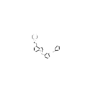 S=C(Cc1cccc2c1ccn2Cc1cccc(OCc2ccccc2)c1)N1CCOCC1